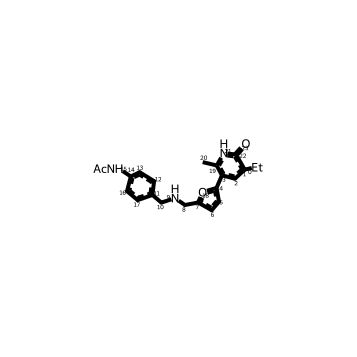 CCc1cc(-c2ccc(CNCc3ccc(NC(C)=O)cc3)o2)c(C)[nH]c1=O